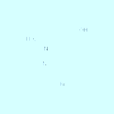 Cn1nc(Br)cc1CO